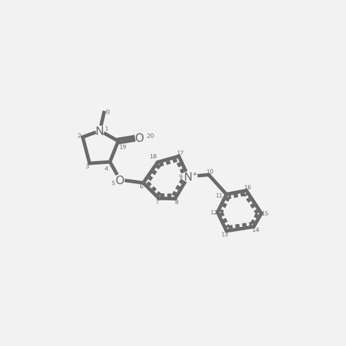 CN1CCC(Oc2cc[n+](Cc3ccccc3)cc2)C1=O